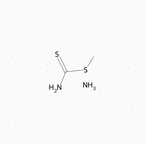 CSC(N)=S.N